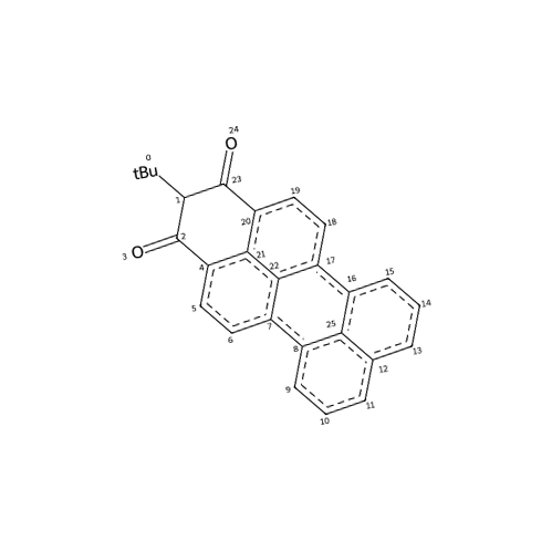 CC(C)(C)C1C(=O)c2ccc3c4cccc5cccc(c6ccc(c2c36)C1=O)c54